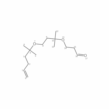 C=CCCC(C)(C)OCCC(C)(C)OCCC=O